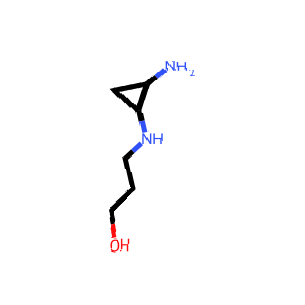 NC1CC1NCCCO